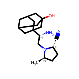 C[C@@H]1CC[C@@H](C#N)N1C[C@@H](N)C12CC3CC(CC(O)(C3)C1)C2